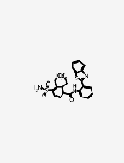 CCc1c(C(=O)Nc2ccccc2-c2nc3ccccc3s2)ccc(S(N)(=O)=O)c1CC